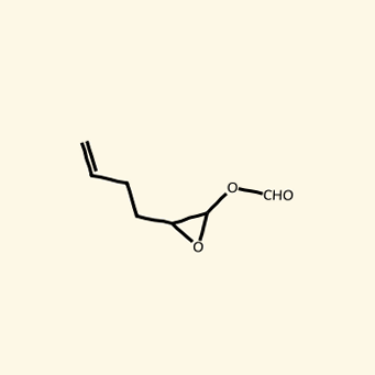 C=CCCC1OC1OC=O